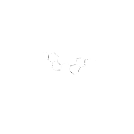 O=S(=O)(O)c1ccc2c(Oc3cccc4cc(S(=O)(=O)O)ccc34)cccc2c1